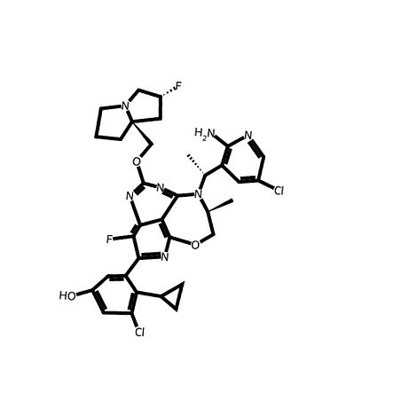 C[C@H](c1cc(Cl)cnc1N)N1c2nc(OC[C@@]34CCCN3C[C@H](F)C4)nc3c(F)c(-c4cc(O)cc(Cl)c4C4CC4)nc(c23)OC[C@@H]1C